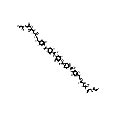 C=CC(=O)OCC(C)OC(=O)CCC(=O)OCCc1ccc(OC(=O)[C@H]2CC[C@H](C(=O)Oc3ccc(OC(=O)[C@H]4CC[C@H](C(=O)Oc5ccc(CCOC(=O)CCC(=O)OC(C)COC(=O)C=C)cc5)CC4)c(C)c3)CC2)cc1